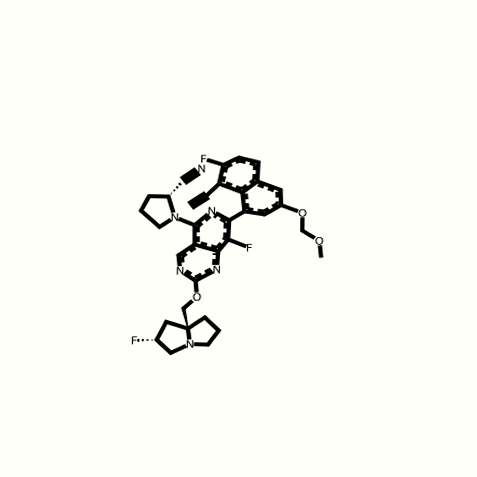 C#Cc1c(F)ccc2cc(OCOC)cc(-c3nc(N4CCC[C@@H]4C#N)c4cnc(OC[C@@]56CCCN5C[C@H](F)C6)nc4c3F)c12